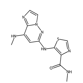 CNC(=O)c1ncsc1Nc1cc(NC)c2nccn2n1